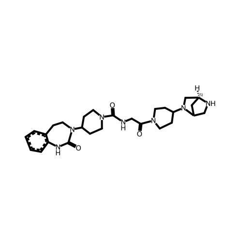 O=C(CNC(=O)N1CCC(N2CCc3ccccc3NC2=O)CC1)N1CCC(N2C[C@@H]3CC2CN3)CC1